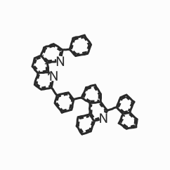 c1ccc(-c2ccc3ccc4ccc(-c5cccc(-c6cccc7c(-c8cccc9ccccc89)nc8ccccc8c67)c5)nc4c3n2)cc1